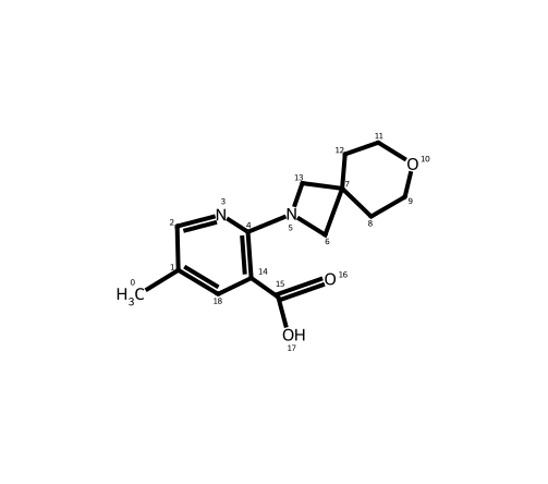 Cc1cnc(N2CC3(CCOCC3)C2)c(C(=O)O)c1